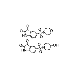 O=C1Nc2ccc(S(=O)(=O)N3CCC(O)CC3)cc2C1=O.O=C1Nc2ccc(S(=O)(=O)N3CCOCC3)cc2C1=O